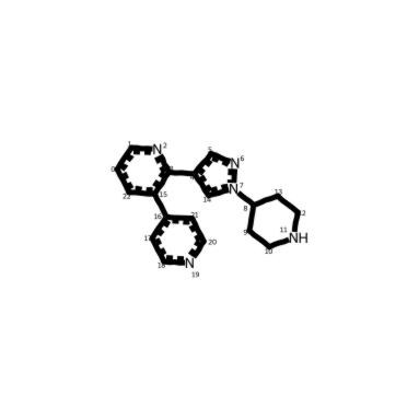 c1cnc(-c2cnn(C3CCNCC3)c2)c(-c2ccncc2)c1